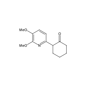 COc1ccc(C2CCCCC2=O)nc1OC